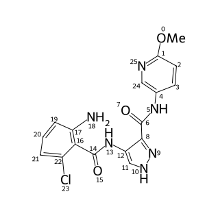 COc1ccc(NC(=O)c2n[nH]cc2NC(=O)c2c(N)cccc2Cl)cn1